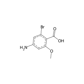 COc1cc(N)cc(Br)c1C(=O)O